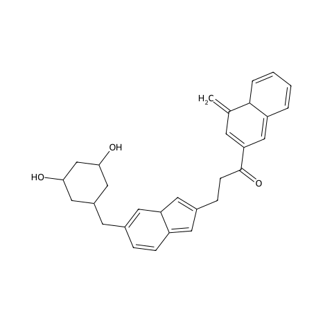 C=C1C=C(C(=O)CCC2=CC3C=C(CC4CC(O)CC(O)C4)C=CC3=C2)C=C2C=CC=CC12